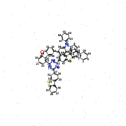 c1ccc(-c2ccc3c(c2)c2ccc(-c4ccc5oc6cccc(-c7nc(-c8ccc9c(c8)sc8ccccc89)nc(-c8ccc9c(c8)sc8ccccc89)n7)c6c5c4)cc2n3-c2ccccc2)cc1